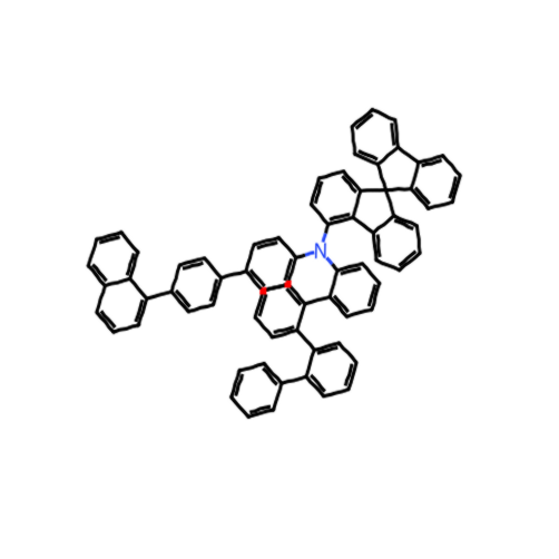 c1ccc(-c2ccccc2-c2ccccc2-c2ccccc2N(c2ccc(-c3ccc(-c4cccc5ccccc45)cc3)cc2)c2cccc3c2-c2ccccc2C32c3ccccc3-c3ccccc32)cc1